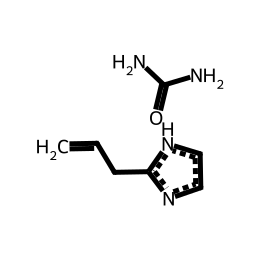 C=CCc1ncc[nH]1.NC(N)=O